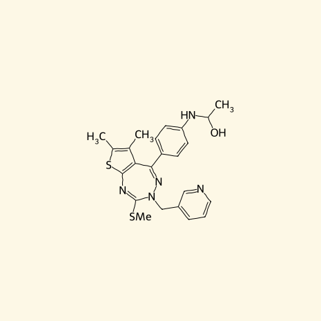 CSC1=Nc2sc(C)c(C)c2C(c2ccc(NC(C)O)cc2)=NN1Cc1cccnc1